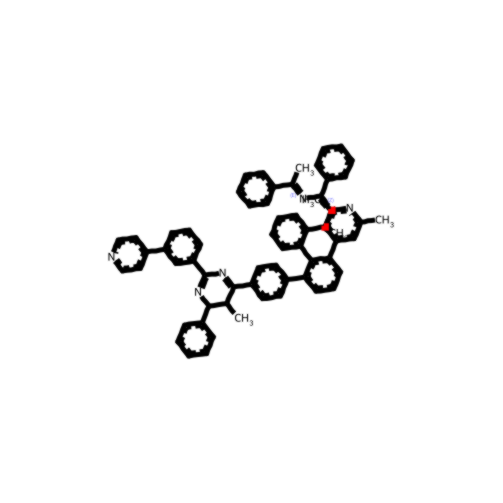 C=C(/N=C(\N=C(/C)c1ccccc1)c1ccccc1)c1ccccc1-c1c(-c2ccc(C3=NC(c4cccc(-c5ccncc5)c4)=NC(c4ccccc4)C3C)cc2)cccc1-c1cc(C)nc(C)c1